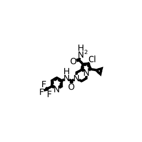 NC(=O)c1c(Cl)c(C2CC2)n2c1CN(C(=O)Nc1ccc(C(F)(F)F)nc1)CC2